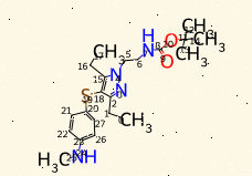 CCc1nn(CCNC(=O)OC(C)(C)C)c(CC)c1Sc1ccc(NC)cc1